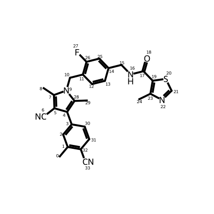 Cc1cc(-c2c(C#N)c(C)n(Cc3ccc(CNC(=O)c4scnc4C)cc3F)c2C)ccc1C#N